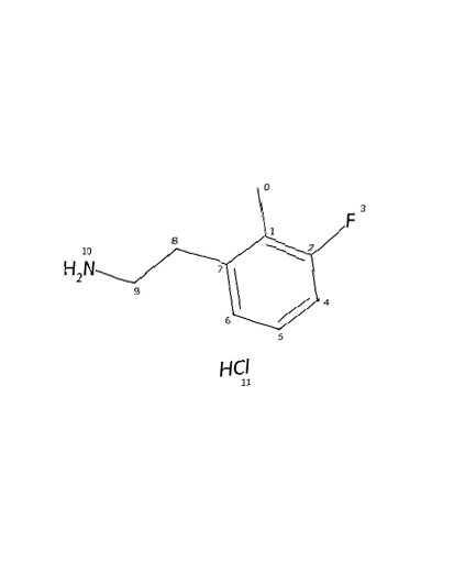 Cc1c(F)cccc1CCN.Cl